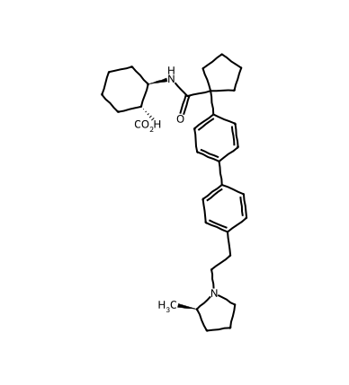 C[C@@H]1CCCN1CCc1ccc(-c2ccc(C3(C(=O)N[C@@H]4CCCC[C@H]4C(=O)O)CCCC3)cc2)cc1